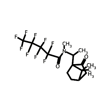 CC(N(C)C(=O)C(F)(F)C(F)(F)C(F)(F)C(F)(F)F)C12CCC(CC1=O)C2(C)C